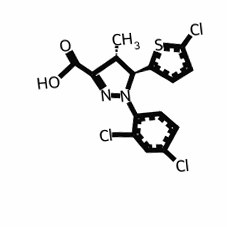 C[C@H]1C(C(=O)O)=NN(c2ccc(Cl)cc2Cl)[C@@H]1c1ccc(Cl)s1